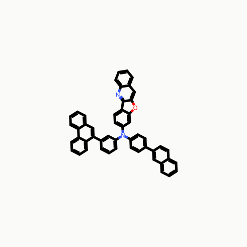 c1cc(-c2cc3ccccc3c3ccccc23)cc(N(c2ccc(-c3ccc4ccccc4c3)cc2)c2ccc3c(c2)oc2cc4ccccc4nc23)c1